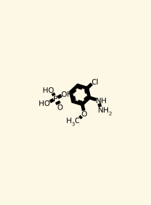 COc1cccc(Cl)c1NN.O=P(O)(O)O